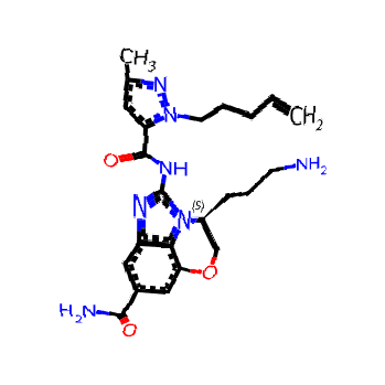 C=CCCCn1nc(C)cc1C(=O)Nc1nc2cc(C(N)=O)cc3c2n1[C@@H](CCCN)CO3